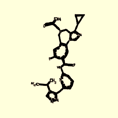 CC(C)n1cnnc1-c1cccc(NC(=O)c2cc3c(cc2F)CN(C(=O)O)Cc2c(C4CC4)ncn2-3)n1